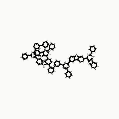 c1ccc(-c2cccc(-c3nc(-c4ccccc4)nc(-c4ccc5sc6c(-c7ccccc7-c7cccc(-c8nc(-c9ccccc9)nc(-c9ccc%10sc%11cc(-c%12nc(-c%13ccccc%13)nc%13c%12oc%12ccccc%12%13)ccc%11c%10c9)n8)c7)ccc(-c7nc(-c8ccccc8)nc8c7oc7ccccc78)c6c5c4)n3)c2)cc1